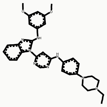 CCN1CCN(c2ccc(Nc3cc(-n4c(Nc5cc(OC)cc(OC)c5)nc5ccccc54)ncn3)cc2)CC1